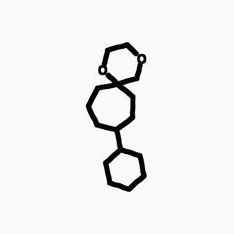 C1CCC(C2CCCC3(CC2)COCCO3)CC1